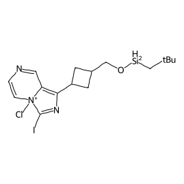 CC(C)(C)C[SiH2]OCC1CC(C2=C3C=NC=C[N+]3(Cl)C(I)=N2)C1